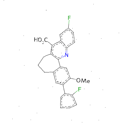 COc1cc2c(cc1-c1ccccc1F)CCCc1c-2nc2ccc(F)cc2c1C(=O)O